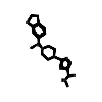 CNC(=O)c1nnc(N2CCN([C@@H](C)c3ccc4c(c3)OCC4)CC2)s1